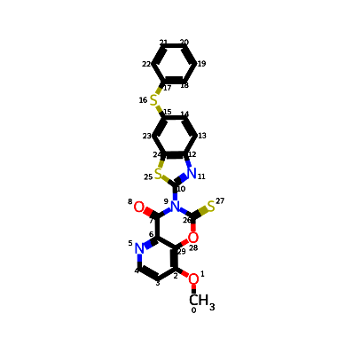 COc1ccnc2c(=O)n(-c3nc4ccc(Sc5ccccc5)cc4s3)c(=S)oc12